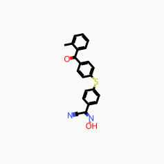 Cc1ccccc1C(=O)c1ccc(Sc2ccc(/C(C#N)=N/O)cc2)cc1